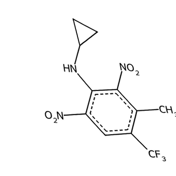 Cc1c(C(F)(F)F)cc([N+](=O)[O-])c(NC2CC2)c1[N+](=O)[O-]